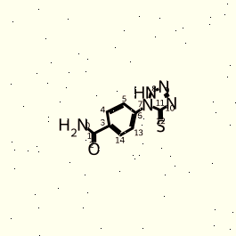 NC(=O)c1ccc(-n2[nH]nnc2=S)cc1